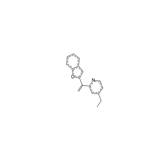 C=C(c1cc(CC)ccn1)c1cc2ccccc2o1